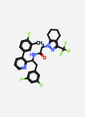 Cc1cc(-c2cccnc2C(Cc2cc(F)cc(F)c2)NC(=O)Cn2nc(C(F)(F)F)c3c2CCCC3)ccc1F